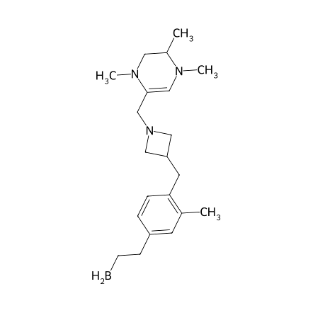 BCCc1ccc(CC2CN(CC3=CN(C)C(C)CN3C)C2)c(C)c1